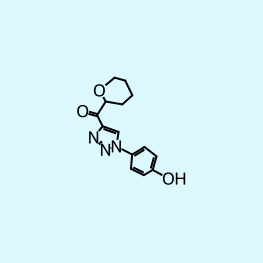 O=C(c1cn(-c2ccc(O)cc2)nn1)C1CCCCO1